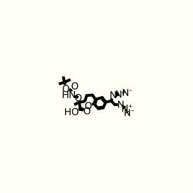 CC(C)(C)OC(=O)NOC(C)(C(=O)O)C1CCc2cc(C(CN=[N+]=[N-])N=[N+]=[N-])ccc2O1